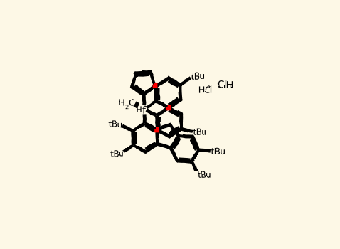 Cl.Cl.[CH2]=[Hf]([C]1=CC=CC1)([c]1ccc(C(C)(C)C)cc1)([c]1ccc(C(C)(C)C)cc1)[c]1c2c(cc(C(C)(C)C)c1C(C)(C)C)-c1cc(C(C)(C)C)c(C(C)(C)C)cc1C2